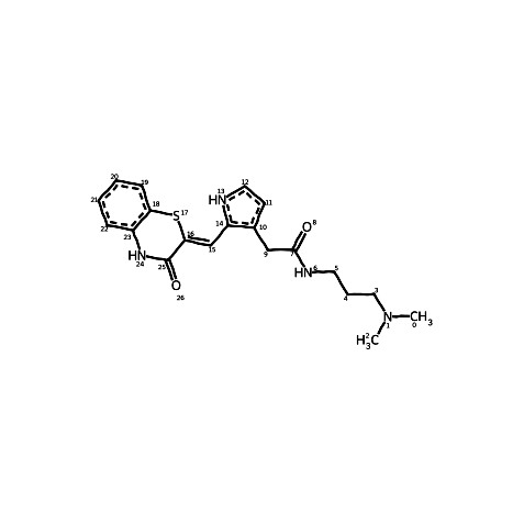 CN(C)CCCNC(=O)Cc1cc[nH]c1C=C1Sc2ccccc2NC1=O